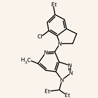 CCc1cc(Cl)c2c(c1)CCN2c1nc(C)cc2c1nnn2C(CC)CC